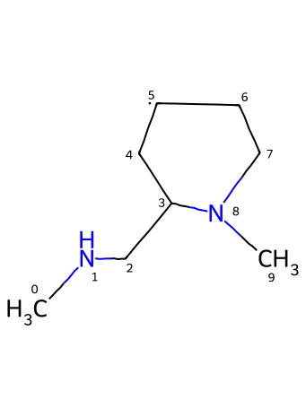 CNCC1C[CH]CCN1C